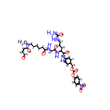 CN(CCCCCC(=O)NCC(=O)NC(CCCNC(N)=O)C(=O)Nc1ccc(COC(=O)Oc2ccc([N+](=O)[O-])cc2)cc1)C(=O)/C=C\C=O